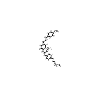 COCCCN1CCN(CC(CN2CCN(CCCN3CCN(C)CC3)CC2)OC)CC1